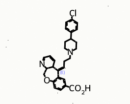 O=C(O)c1ccc2c(c1)/C(=C/CCN1CCC(c3ccc(Cl)cc3)CC1)C1C=CC=NC1CO2